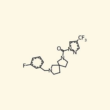 O=C(N1CCC2(CCN(Cc3cccc(F)c3)C2)C1)n1cc(C(F)(F)F)cn1